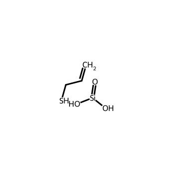 C=CCS.O=[Si](O)O